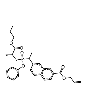 C=CCOC(=O)c1ccc2ccc(C(C)P(=O)(N[C@@H](C)C(=O)OCCC)Oc3ccccc3)cc2c1